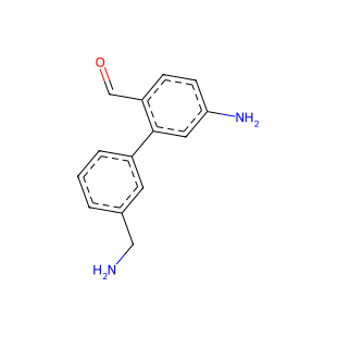 NCc1cccc(-c2cc(N)ccc2C=O)c1